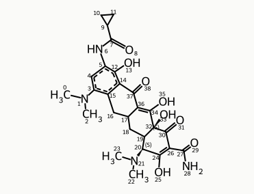 CN(C)c1cc(NC(=O)C2CC2)c(O)c2c1CC1CC3[C@H](N(C)C)C(O)=C(C(N)=O)C(=O)[C@@]3(O)C(O)=C1C2=O